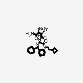 CCCC[C@H](C(N)=O)[C@@H](CC(C)C)C(=O)NC1N=C(c2ccccc2)c2ccccc2N(CCC2CCC2)C1=O